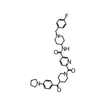 O=C(NC1CCN(Cc2ccc(F)cc2)CC1)c1ccc(C(=O)N2CCC(C(=O)c3ccc(N4CCCC4)cc3)CC2)nc1